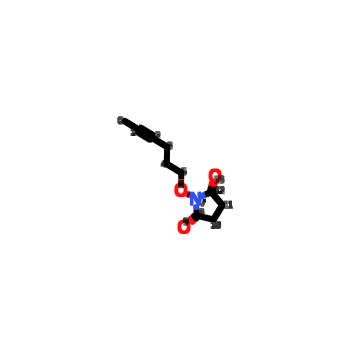 CC#CCCCON1C(=O)CCC1=O